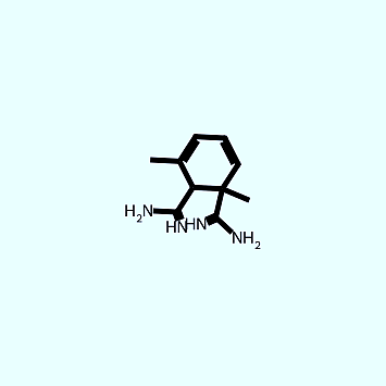 CC1=CC=CC(C)(C(=N)N)C1C(=N)N